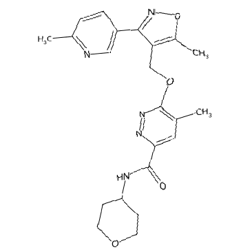 Cc1ccc(-c2noc(C)c2COc2nnc(C(=O)NC3CCOCC3)cc2C)cn1